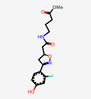 COC(=O)CCCNC(=O)CC1CC(c2ccc(O)cc2F)=NO1